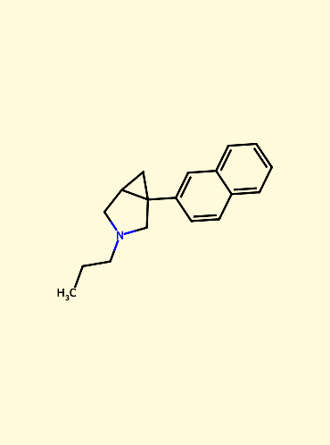 CCCN1CC2CC2(c2ccc3ccccc3c2)C1